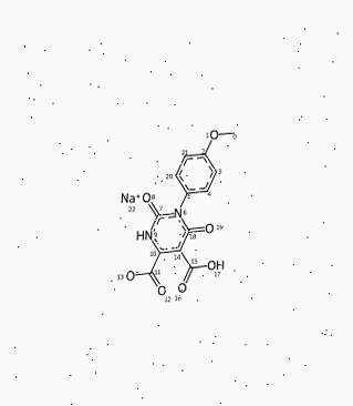 COc1ccc(-n2c(=O)[nH]c(C(=O)[O-])c(C(=O)O)c2=O)cc1.[Na+]